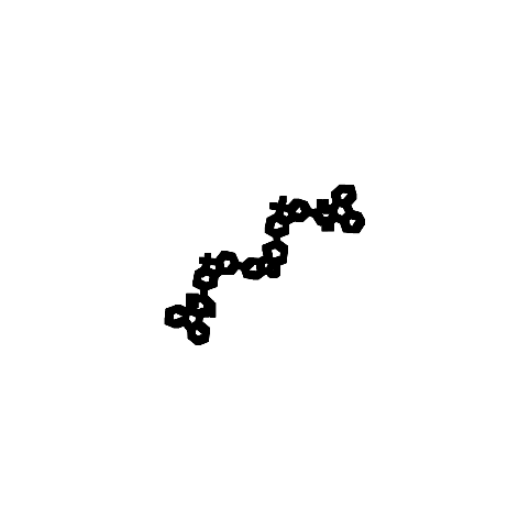 CC1(C)c2ccc(-c3ccc4oc5ccc(-c6ccc7c(c6)-c6cc(-c8cnc9c%10ccccc%10c%10ccccc%10c9n8)ccc6C7(C)C)cc5c4c3)cc2-c2cc(-c3cnc4c5ccccc5c5ccccc5c4n3)ccc21